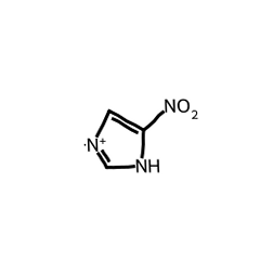 O=[N+]([O-])C1=C[N+]=CN1